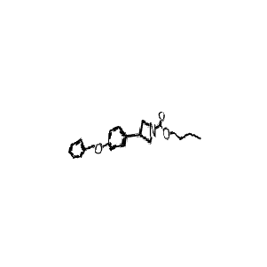 CCCCOC(=O)N1CC(c2ccc(OCc3ccccc3)cc2)C1